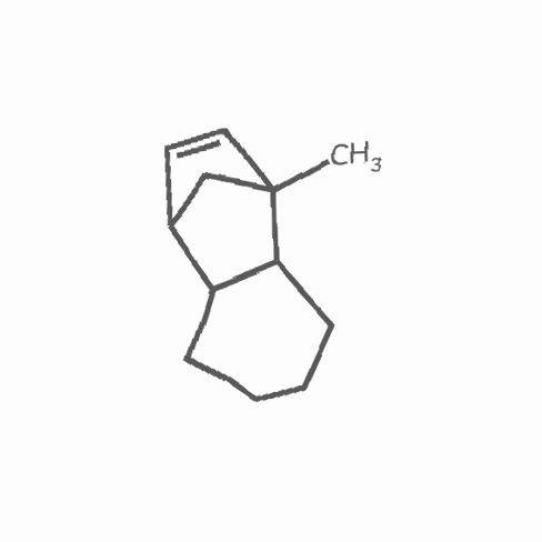 CC12C=CC(C1)C1CCCCC12